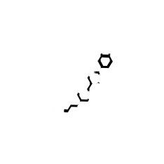 C=CCC[C@H]1CO[C@H]([C@H]2CO[C@H](c3ccc(F)c(F)c3)OC2)OC1